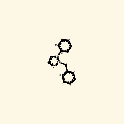 c1ccc(C[si]2occ[si]2-c2ccccc2)cc1